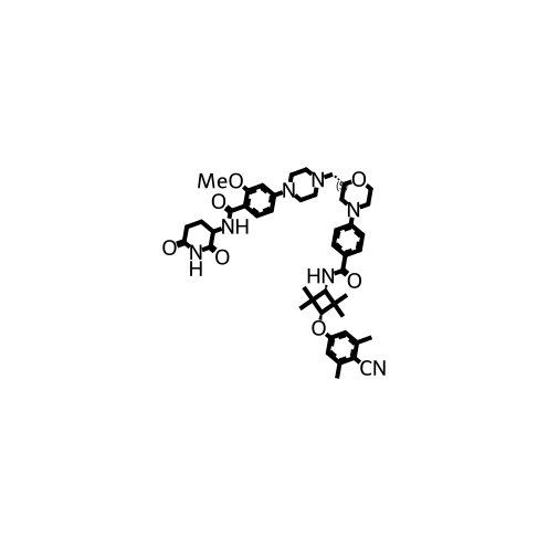 COc1cc(N2CCN(C[C@H]3CN(c4ccc(C(=O)N[C@H]5C(C)(C)[C@H](Oc6cc(C)c(C#N)c(C)c6)C5(C)C)cc4)CCO3)CC2)ccc1C(=O)NC1CCC(=O)NC1=O